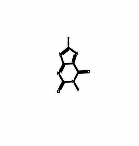 CC1=NC2=NC(=O)N(C)C(=O)C2=N1